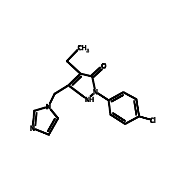 CCc1c(Cn2ccnc2)[nH]n(-c2ccc(Cl)cc2)c1=O